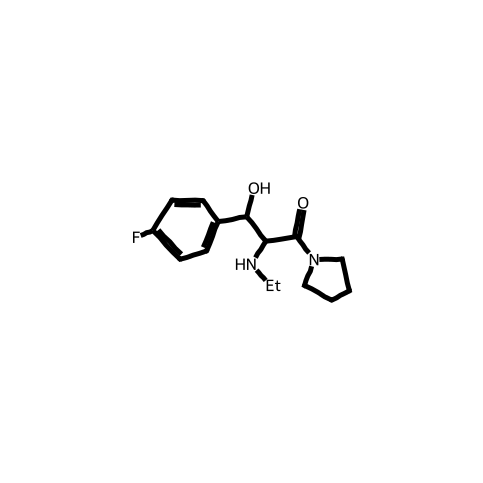 CCNC(C(=O)N1CCCC1)C(O)c1ccc(F)cc1